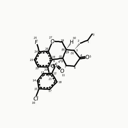 CCC[C@@H]1C(=O)CC[C@@]2(S(=O)(=O)c3ccc(Cl)cc3)c3c(F)ccc(F)c3OC[C@@H]12